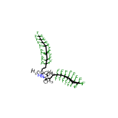 C[Si](C)(CCC(F)(F)C(F)(F)C(F)(F)C(F)(F)C(F)(F)C(F)(F)C(F)(F)F)N[Si](C)(C)CCC(F)(F)C(F)(F)C(F)(F)C(F)(F)C(F)(F)C(F)(F)C(F)(F)F